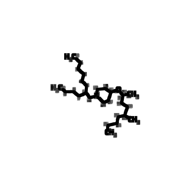 CCCCCCC(CCCC)CN1CCC(O[C@@H](C)CCC(C)CCCC)CC1